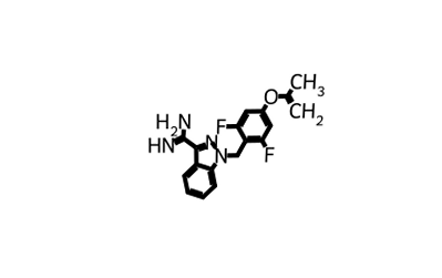 C=C(C)Oc1cc(F)c(Cn2nc(C(=N)N)c3ccccc32)c(F)c1